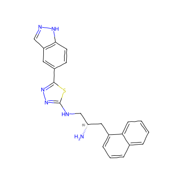 N[C@H](CNc1nnc(-c2ccc3[nH]ncc3c2)s1)Cc1cccc2ccccc12